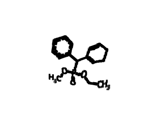 CCOP(=O)(OC)C(C1=CCCC=C1)c1ccccc1